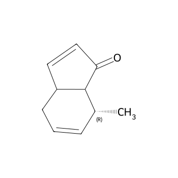 C[C@@H]1C=CCC2C=CC(=O)C21